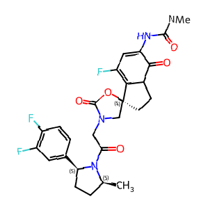 CNC(=O)NC1=CC(F)=C2C(CC[C@@]23CN(CC(=O)N2[C@@H](C)CC[C@H]2c2ccc(F)c(F)c2)C(=O)O3)C1=O